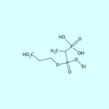 CCOP(=O)(OCCC(=O)O)C(C)P(=O)(O)O